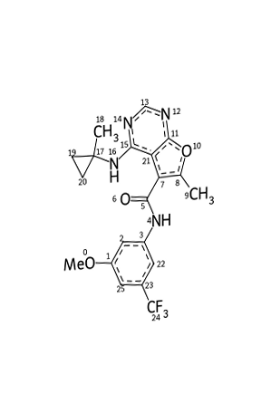 COc1cc(NC(=O)c2c(C)oc3ncnc(NC4(C)CC4)c23)cc(C(F)(F)F)c1